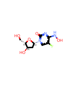 O=c1nc(NO)c(F)cn1[C@@H]1C[C@@H](O)[C@H](CO)O1